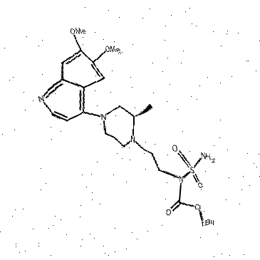 COc1cc2nccc(N3CCN(CCN(C(=O)OC(C)(C)C)S(N)(=O)=O)[C@H](C)C3)c2cc1OC